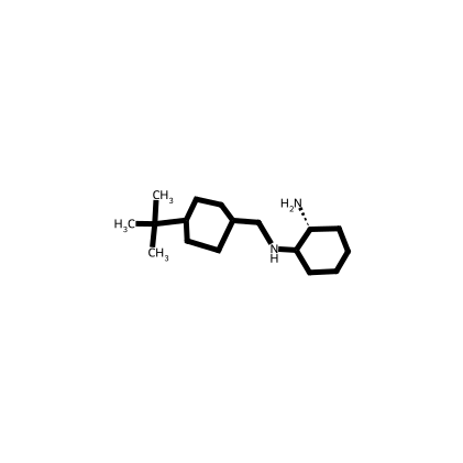 CC(C)(C)C1CCC(CNC2CCCC[C@H]2N)CC1